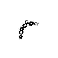 CC(C)c1ccc(C(=O)N2CCN(c3ccc4c(c3)CCN(C3CCCC3)CC4)CC2)cc1